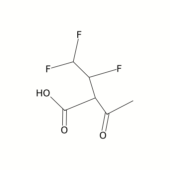 CC(=O)C(C(=O)O)C(F)C(F)F